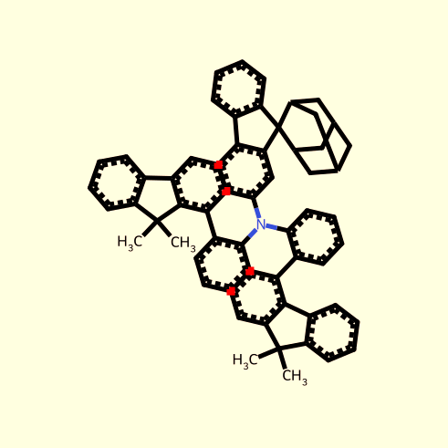 CC1(C)c2ccccc2-c2c(-c3ccccc3N(c3ccc4c(c3)C3(c5ccccc5-4)C4CC5CC(C4)CC3C5)c3ccccc3-c3cccc4c3C(C)(C)c3ccccc3-4)cccc21